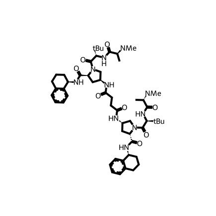 CN[C@@H](C)C(=O)N[C@H](C(=O)N1C[C@@H](NC(=O)CCC(=O)N[C@H]2C[C@@H](C(=O)N[C@@H]3CCCc4ccccc43)N(C(=O)[C@@H](NC(=O)[C@H](C)NC)C(C)(C)C)C2)C[C@H]1C(=O)N[C@@H]1CCCc2ccccc21)C(C)(C)C